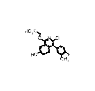 Cc1cc(-c2c(Cl)nc(OCC(=O)O)c3cc(O)ccc23)ccc1F